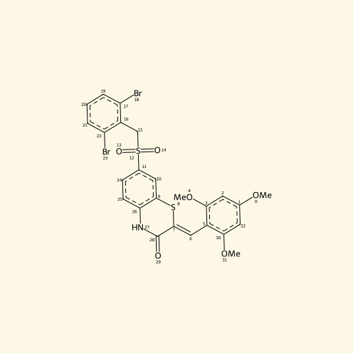 COc1cc(OC)c(C=C2Sc3cc(S(=O)(=O)Cc4c(Br)cccc4Br)ccc3NC2=O)c(OC)c1